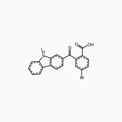 C[SiH]1c2ccccc2-c2ccc(C(=O)c3cc(Br)ccc3C(=O)O)cc21